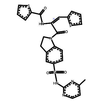 Cc1ccnc(NS(=O)(=O)c2ccc3c(c2)CCN3C(=O)/C(=C\c2cccs2)NC(=O)c2cccs2)n1